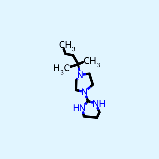 CCCC(C)(C)N1CCN(C2NCCCN2)CC1